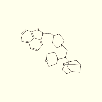 c1cc2c3c(cccc3c1)N(CC1CCN(CC(N3CCOCC3)C34CC5CC(CC(C5)C3)C4)CC1)S2